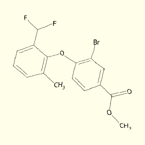 COC(=O)c1ccc(Oc2c(C)cccc2C(F)F)c(Br)c1